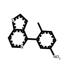 Cc1ccc([N+](=O)[O-])cc1-c1nccc2sccc12